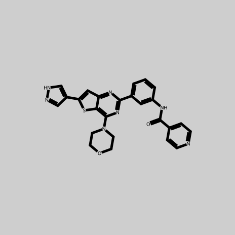 O=C(Nc1cccc(-c2nc(N3CCOCC3)c3sc(-c4cn[nH]c4)cc3n2)c1)c1ccncc1